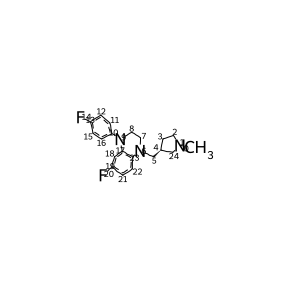 CN1CC[C@H](CN2CCN(c3ccc(F)cc3)c3cc(F)ccc32)C1